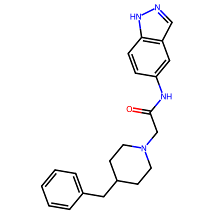 O=C(CN1CCC(Cc2ccccc2)CC1)Nc1ccc2[nH]ncc2c1